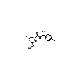 CC(C)(C)OC(=O)N[C@@H](CCO)C(=O)N[C@@H](c1ccc(Br)cn1)C(F)(F)F